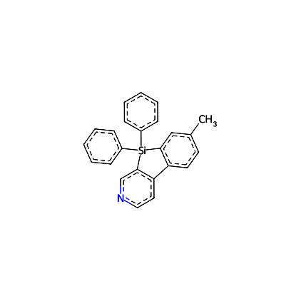 Cc1ccc2c(c1)[Si](c1ccccc1)(c1ccccc1)c1cnccc1-2